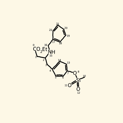 CCOC(=O)CC(Cc1ccc(OS(C)(=O)=O)cc1)NCc1ccccc1